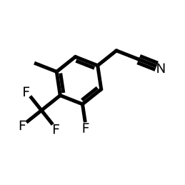 Cc1cc(CC#N)cc(F)c1C(F)(F)F